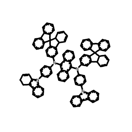 C1=CC2c3cc(N(c4ccc(-n5c6c(c7ccccc75)CCC=C6)cc4)c4c5ccccc5c(N(c5ccc(-n6c7ccccc7c7ccccc76)cc5)c5ccc6c(c5)C5C=CC=CC5C65c6ccccc6-c6ccccc65)c5ccccc45)ccc3C3(c4ccccc4-c4ccccc43)C2C=C1